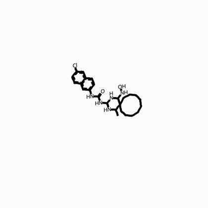 CC1NC(NC(=O)Nc2ccc3cc(Cl)ccc3c2)NC(NO)C12CCCCCCCCC2